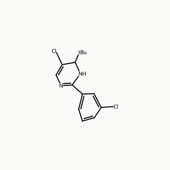 CC(C)(C)C1NC(c2cccc(Cl)c2)=NC=C1Cl